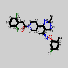 CC(=NOc1cc(F)ccc1C)c1cnc(C)nc1C1CCN(C(=O)Cc2c(F)cccc2F)CC1